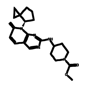 C=C1C=Cc2cnc(NC3CCN(C(=O)OC)CC3)nc2N1[C@H]1CCCC12CC2